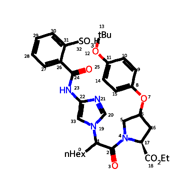 CCCCCCC(C(=O)N1CC(Oc2ccc(OC(C)(C)C)cc2)C[C@H]1C(=O)OCC)n1cnc(NC(=O)c2ccccc2S(=O)(=O)O)c1